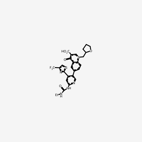 CCNC(=O)Nc1cc(-c2nc(C(F)(F)F)cs2)c(-c2ccc3c(c2)c(=O)c(C(=O)O)cn3CC2CCCO2)cn1